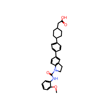 COc1ccccc1NC(=O)N1CCc2cc(-c3ccc(C4CCC(CC(=O)O)CC4)cc3)ccc21